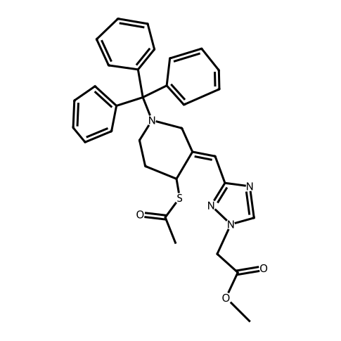 COC(=O)Cn1cnc(/C=C2/CN(C(c3ccccc3)(c3ccccc3)c3ccccc3)CCC2SC(C)=O)n1